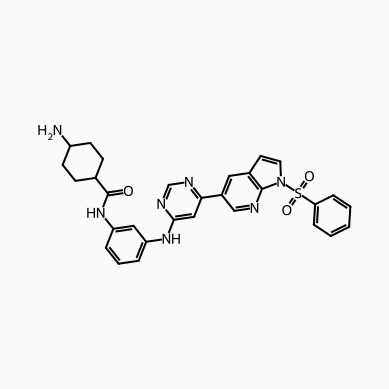 NC1CCC(C(=O)Nc2cccc(Nc3cc(-c4cnc5c(ccn5S(=O)(=O)c5ccccc5)c4)ncn3)c2)CC1